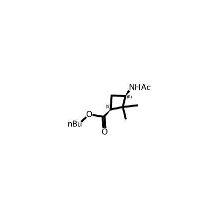 CCCCOC(=O)[C@H]1C[C@@H](NC(C)=O)C1(C)C